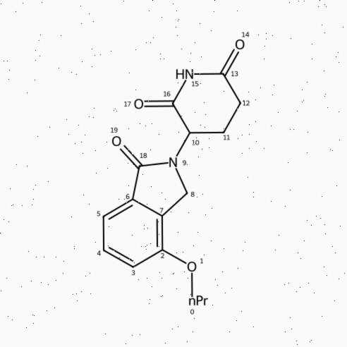 [CH2]CCOc1cccc2c1CN(C1CCC(=O)NC1=O)C2=O